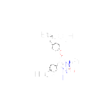 CCCN1C(=O)NCC1(CCOc1ccc(CC(CC)C(=O)O)cc1)Cc1ccc(C)cc1